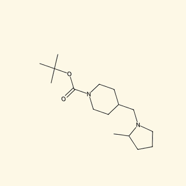 CC1CCCN1CC1CCN(C(=O)OC(C)(C)C)CC1